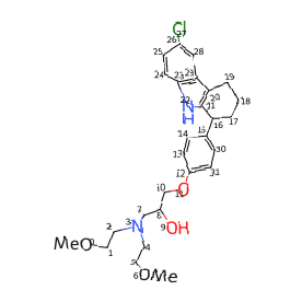 COCCN(CCOC)CC(O)COc1ccc(C2CCCc3c2[nH]c2ccc(Cl)cc32)cc1